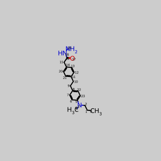 CCCN(C)c1ccc(CCc2ccc(CC(=O)NN)cc2)cc1